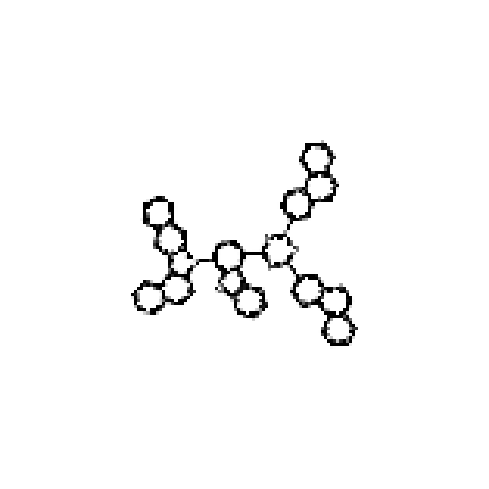 c1ccc2cc3c(cc2c1)c1c2ccccc2ccc1n3-c1ccc(-c2nc(-c3ccc4c(ccc5ccccc54)c3)nc(-c3ccc4c(ccc5ccccc54)c3)n2)c2c1oc1ccccc12